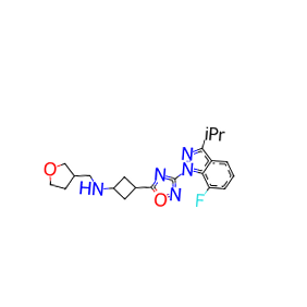 CC(C)c1nn(-c2noc(C3CC(NCC4CCOC4)C3)n2)c2c(F)cccc12